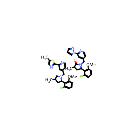 COc1cccc(F)c1C1CC(C)C(=O)N1Cc1ccnc(-n2cccn2)c1.COc1cccc(F)c1C1CC(C)CN1Cc1ccnc(-c2ncc(C)s2)c1